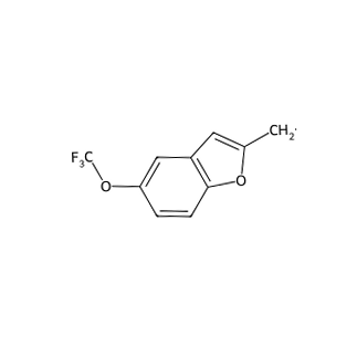 [CH2]c1cc2cc(OC(F)(F)F)ccc2o1